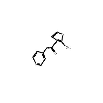 Cc1occc1C(=O)Cc1ccncc1